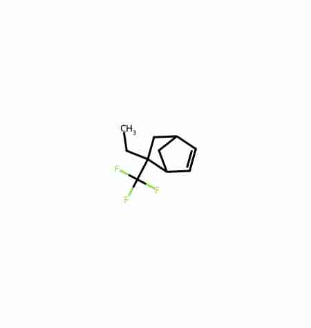 CCC1(C(F)(F)F)CC2C=CC1C2